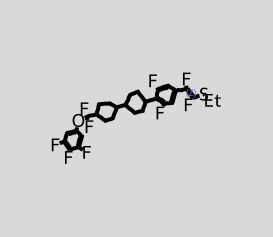 CCS/C(F)=C(\F)c1cc(F)c(C2CCC(C3CCC(C(F)(F)Oc4cc(F)c(F)c(F)c4)CC3)CC2)c(F)c1